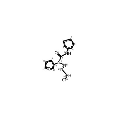 O=C(Nc1ccccc1)N(N=NPCl)c1ccccc1